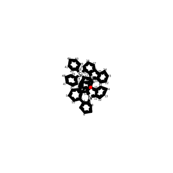 c1ccc(-c2ccccc2-n2c3ccccc3c3c(-n4c5ccccc5c5cccc([Si](c6ccccc6)(c6ccccc6)c6ccccc6)c54)cccc32)cc1